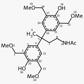 COCc1cc(C(C)(CCNC(C)=O)c2cc(COC)c(O)c(COC)c2)cc(COC)c1O